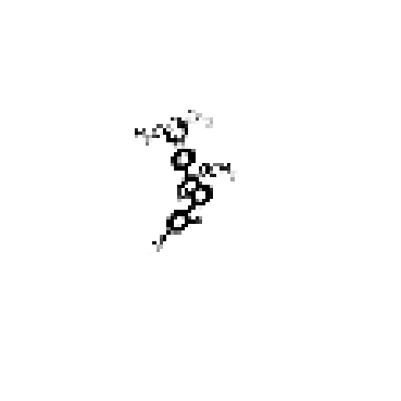 COc1c(-c2ccc(N3CC(C)OC(C)C3)cc2)cnc2c(-c3ccc(C#N)cc3F)cccc12